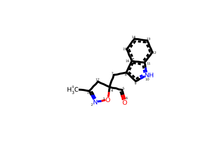 CC1=NOC(C=O)(Cc2c[nH]c3ccccc23)C1